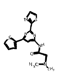 CN(C)CC(=O)Nc1cc(-c2cccs2)nc(-c2nccs2)n1